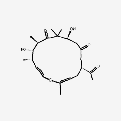 CC(=O)[C@@H]1CC=C(C)CC=C[C@H](C)[C@H](O)[C@@H](C)C(=O)C(C)(C)[C@@H](O)CC(=O)O1